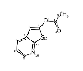 CC(=O)Oc1cc2cccnc2s1